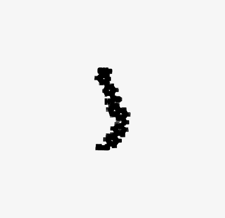 COc1ccc(-c2ccc(C(=O)Nc3ccc4cc(CN5CCC(c6ccc(OC)cc6)CC5)ccc4c3)cc2)cc1